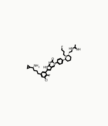 CC(=N)NCC[C@@H]1CCC[C@@H](c2ccc(-n3cc4cc(-c5cc(CCC[C@@H](N)C6CC6)cc(Cl)c5F)[nH]c4nc3=O)cc2)N1CCCF